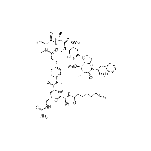 CC[C@H](C)[C@@H]([C@@H](CC(=O)N1CCC[C@H]1[C@H](OC)[C@@H](C)C(=O)N[C@@H](Cc1ccccc1)C(=O)O)OC)N(C)C(=O)[C@@H](NC(=O)[C@H](C(C)C)N(C)C(=O)CCc1ccc(NC(=O)[C@H](CCCNC(N)=O)NC(=O)[C@@H](NC(=O)CCCCCN)C(C)C)cc1)C(C)C